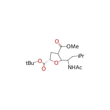 COC(=O)C1C[C@@H](C(=O)OC(C)(C)C)OC1C(CC(C)C)NC(C)=O